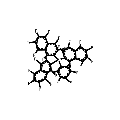 Fc1c(F)c(F)c([B-](c2c(F)c(F)c3c(F)c(F)c(F)c(F)c3c2F)(c2c(F)c(F)c3c(F)c(F)c(F)c(F)c3c2F)c2c(F)c(F)c3c(F)c(F)c(F)c(F)c3c2F)c(F)c1F